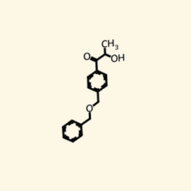 CC(O)C(=O)c1ccc(COCc2ccccc2)cc1